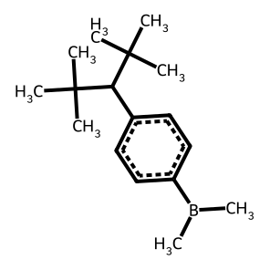 CB(C)c1ccc(C(C(C)(C)C)C(C)(C)C)cc1